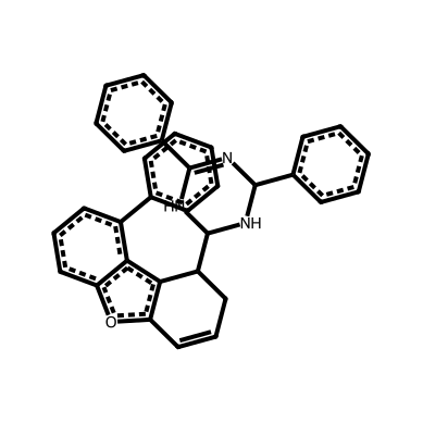 C1=Cc2oc3cccc(-c4ccccc4)c3c2C(C2NC(c3ccccc3)=NC(c3ccccc3)N2)C1